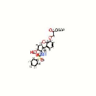 COC(=O)COc1cccc2c1OC1CC(O)C(NS(=O)(=O)c3ccccc3)[C@H]21